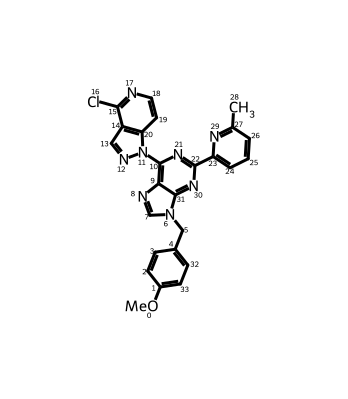 COc1ccc(Cn2cnc3c(-n4ncc5c(Cl)nccc54)nc(-c4cccc(C)n4)nc32)cc1